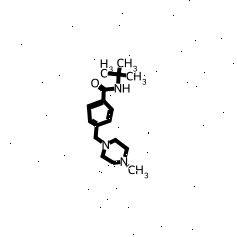 CN1CCN(Cc2ccc(C(=O)NC(C)(C)C)cc2)CC1